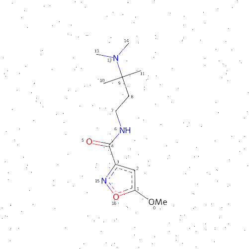 COc1cc(C(=O)NCCC(C)(C)N(C)C)no1